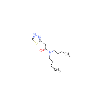 CCCCN(CCCC)C(=O)Cc1nn[c]s1